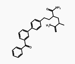 C=C(N)C(C)CC(CCc1ccc(-c2cccc(C(=O)c3ccccc3)c2)cc1)C(N)=O